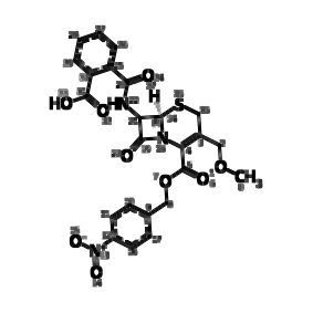 COCC1=C(C(=O)OCc2ccc([N+](=O)[O-])cc2)N2C(=O)C(NC(=O)c3ccccc3C(=O)O)[C@H]2SC1